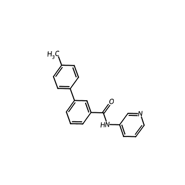 Cc1ccc(-c2cccc(C(=O)Nc3cccnc3)c2)cc1